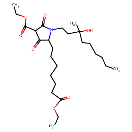 CCCCCCC(C)(O)CCN1C(=O)C(C(=O)OCC)C(=O)C1CCCCCCC(=O)OCC